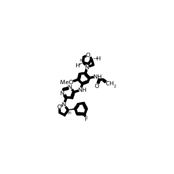 C=CC(=O)Nc1cc(Nc2cc(N3OCC[C@@H]3c3cccc(F)c3)ncn2)c(OC)cc1N1C[C@H]2C[C@@H]1CO2